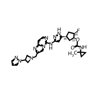 CC1(NC(=O)O[C@H]2C[C@@H](c3cc(Nc4nccc5nc(CN6CC(n7cccn7)C6)cn45)n[nH]3)C[C@H]2F)CC1